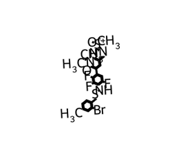 Cc1ccc(CSNc2c(F)cc(-c3cc4cnc([S+](C)[O-])nc4n(C(C)C)c3=O)c(F)c2F)c(Br)c1